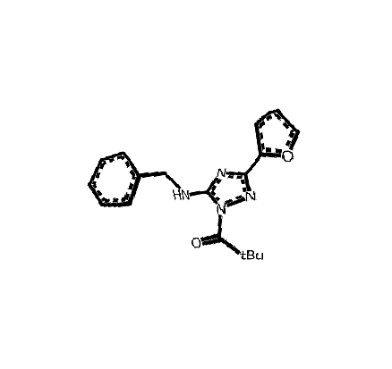 CC(C)(C)C(=O)n1nc(-c2ccco2)nc1NCc1ccccc1